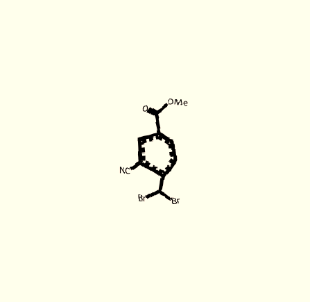 COC(=O)c1ccc(C(Br)Br)c(C#N)c1